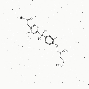 CCC(CC)(c1ccc(C[S+]([O-])C(C)(C)C)c(C)c1)c1ccc(OCC(O)CCC(=O)O)c(C)c1